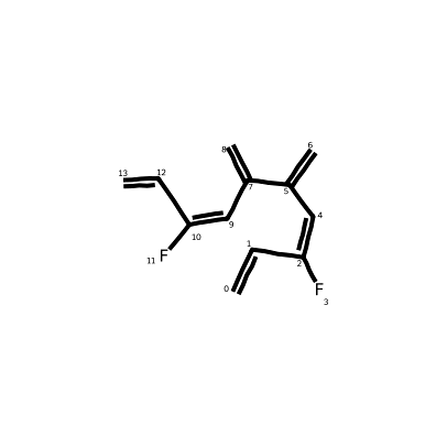 C=C/C(F)=C\C(=C)C(=C)/C=C(/F)C=C